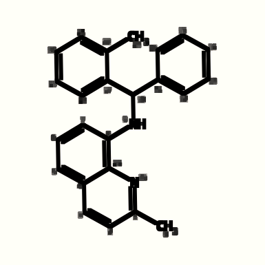 Cc1ccc2cccc(NC(c3ccccc3)c3ccccc3C)c2n1